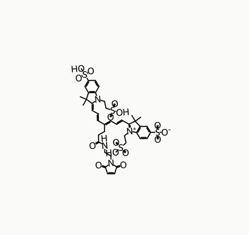 CC1(C)C(=CC=CC(=CC=CC2=[N+](CCS(=O)(=O)O)c3ccc(S(=O)(=O)[O-])cc3C2(C)C)CCC(=O)NCCN2C(=O)C=CC2=O)N(CCS(=O)(=O)O)c2ccc(S(=O)(=O)O)cc21